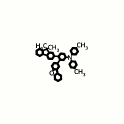 Cc1ccc(N(c2ccc(C)cc2)c2ccc(-c3ccc4c(c3)C(C)(C)c3ccccc3-4)c(-c3ccc4oc5ccccc5c4c3)c2)cc1